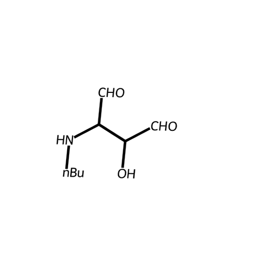 CCCCNC(C=O)C(O)C=O